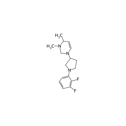 CC1C=CN(C2CCN(c3cccc(F)c3F)C2)CN1C